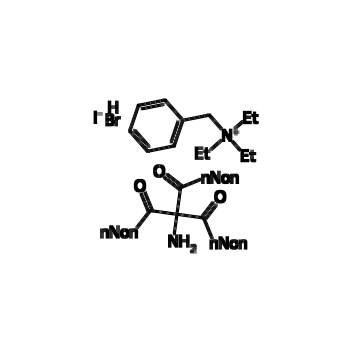 Br.CCCCCCCCCC(=O)C(N)(C(=O)CCCCCCCCC)C(=O)CCCCCCCCC.CC[N+](CC)(CC)Cc1ccccc1.[I-]